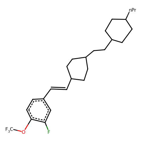 CCCC1CCC(CCC2CCC(C=Cc3ccc(OC(F)(F)F)c(F)c3)CC2)CC1